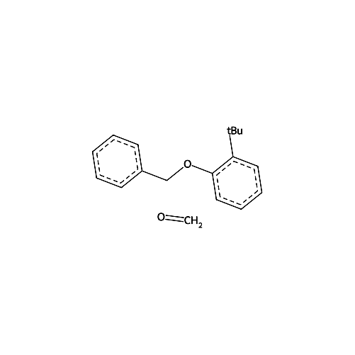 C=O.CC(C)(C)c1ccccc1OCc1ccccc1